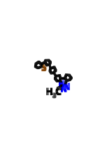 CCc1nnc2c3ccccc3c3cc(-c4ccc(-c5cccc6c5sc5ccccc56)cc4)ccc3n12